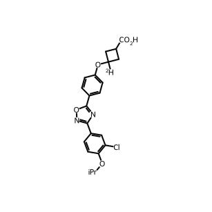 [2H]C1(Oc2ccc(-c3nc(-c4ccc(OC(C)C)c(Cl)c4)no3)cc2)CC(C(=O)O)C1